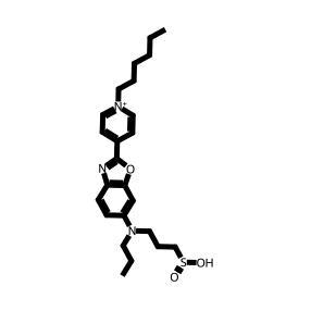 CCCCCC[n+]1ccc(-c2nc3ccc(N(CCC)CCCS(=O)O)cc3o2)cc1